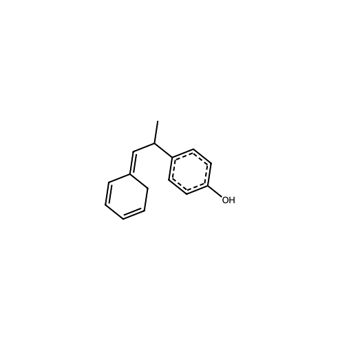 CC(C=C1C=CC=CC1)c1ccc(O)cc1